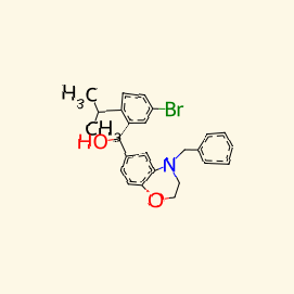 CC(C)c1ccc(Br)cc1C(O)c1ccc2c(c1)N(Cc1ccccc1)CCO2